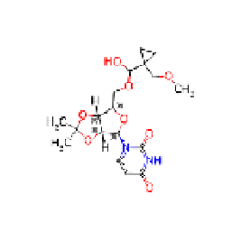 COCC1(C(O)OC[C@H]2O[C@@H](n3ccc(=O)[nH]c3=O)[C@@H]3OC(C)(C)O[C@@H]32)CC1